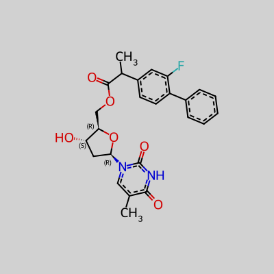 Cc1cn([C@H]2C[C@H](O)[C@@H](COC(=O)C(C)c3ccc(-c4ccccc4)c(F)c3)O2)c(=O)[nH]c1=O